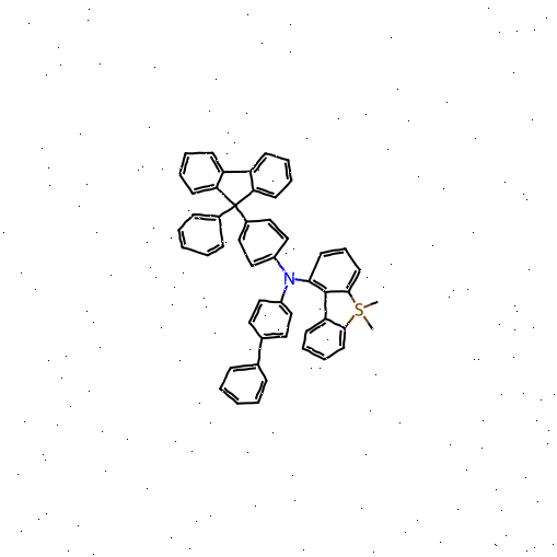 CS1(C)c2ccccc2-c2c(N(c3ccc(-c4ccccc4)cc3)c3ccc(C4(c5ccccc5)c5ccccc5-c5ccccc54)cc3)cccc21